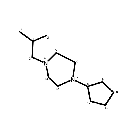 CC(C)CN1CCN(C2CCCC2)CC1